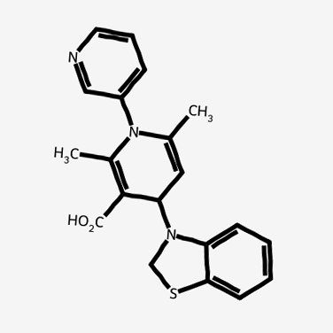 CC1=CC(N2CSc3ccccc32)C(C(=O)O)=C(C)N1c1cccnc1